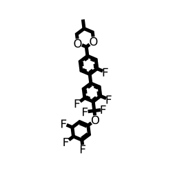 CC1COC(c2ccc(-c3cc(F)c(C(F)(F)OC4=CC(F)C(F)C(F)=C4)c(F)c3)c(F)c2)OC1